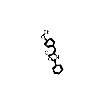 CCOc1ccc(C=C2N=C(c3ccccc3)OC2=O)cc1